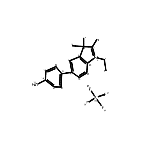 CC[N+]1=C(C)C(C)(C)c2cc(-c3ccc(O)cc3)ccc21.F[B-](F)(F)F